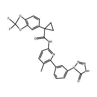 Cc1ccc(NC(=O)C2(c3ccc4c(c3)OC(F)(F)O4)CC2)nc1-c1cccc(-n2nn[nH]c2=O)c1